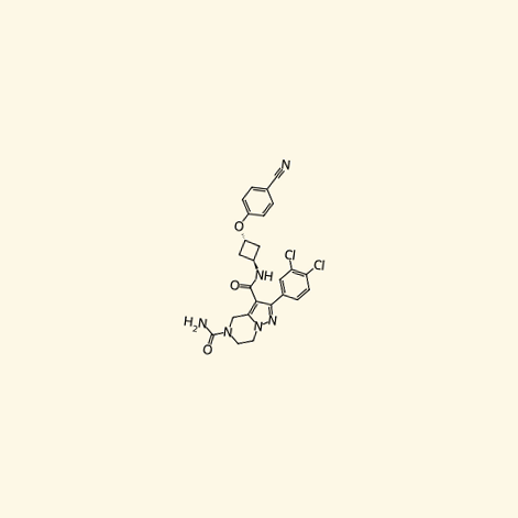 N#Cc1ccc(O[C@H]2C[C@H](NC(=O)c3c(-c4ccc(Cl)c(Cl)c4)nn4c3CN(C(N)=O)CC4)C2)cc1